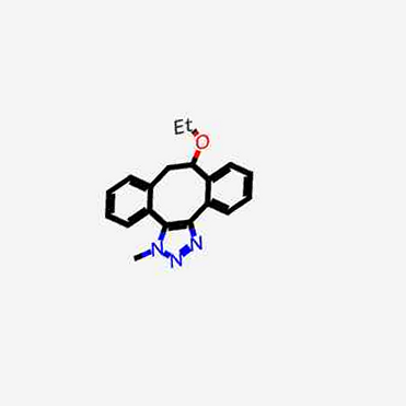 CCOC1Cc2ccccc2-c2c(nnn2C)-c2ccccc21